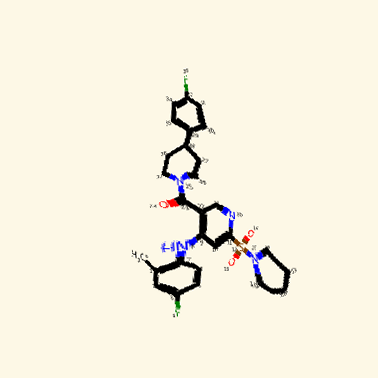 Cc1cc(F)ccc1Nc1cc(S(=O)(=O)N2CCCC2)ncc1C(=O)N1CCC(c2ccc(F)cc2)CC1